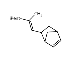 CCCC(C)C(C)=CC1CC2C=CC1C2